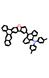 Cc1ccc(N(c2ccc(C)cc2)c2c3ccccc3c(-c3ccc4oc5cc6c7ccccc7c7cc8ccccc8cc7c6cc5c4c3)c3ccccc23)cc1